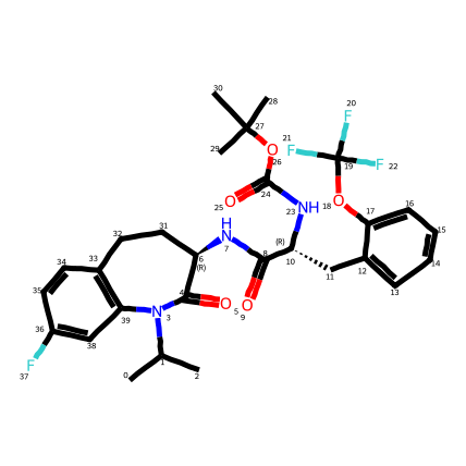 CC(C)N1C(=O)[C@H](NC(=O)[C@@H](Cc2ccccc2OC(F)(F)F)NC(=O)OC(C)(C)C)CCc2ccc(F)cc21